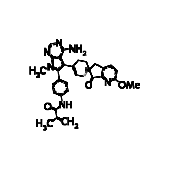 C=C(C)C(=O)Nc1ccc(-c2c(C3=CC[C@]4(CC3)Cc3ccc(OC)nc3C4=O)c3c(N)ncnc3n2C)cc1